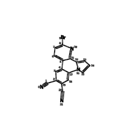 N#Cc1cc2c3ccc(Br)nc3c3cccn3c2cc1C#N